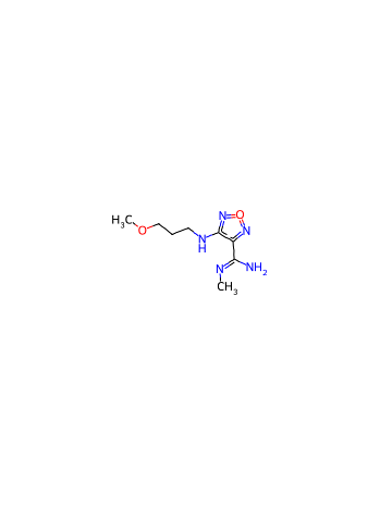 C/N=C(\N)c1nonc1NCCCOC